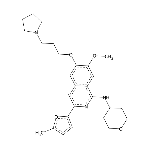 COc1cc2c(NC3CCOCC3)nc(-c3ccc(C)o3)nc2cc1OCCCN1CCCC1